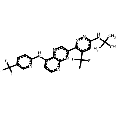 CC(C)(C)Nc1cc(C(F)(F)F)c(-c2cnc3c(Nc4ccc(C(F)(F)F)cn4)ccnc3n2)nn1